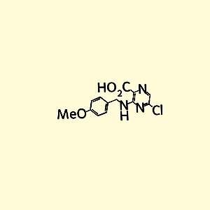 COc1ccc(CNc2nc(Cl)cnc2C(=O)O)cc1